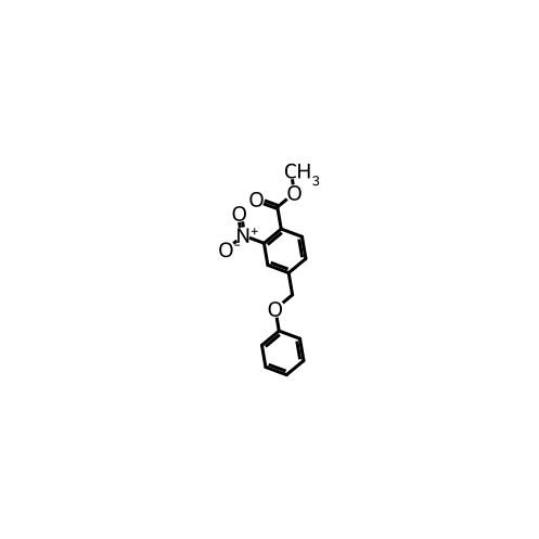 COC(=O)c1ccc(COc2ccccc2)cc1[N+](=O)[O-]